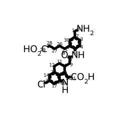 NCc1ccc(NC(=O)CC2CCc3cc(Cl)cc4[nH]c(C(=O)O)c2c34)c(CCCCC(=O)O)c1